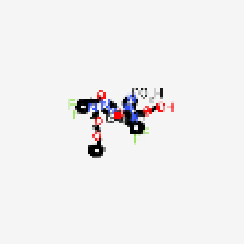 CC(C)(C)C1CN(C(=O)c2cc3cc(F)c(F)cc3n2CCOCCOCc2ccccc2)CCN1C(=O)O.O=C(O)N1CCN(C(=O)c2cc3cc(F)c(F)cc3n2CCOCCO)CC1